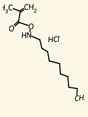 C=C(C)C(=O)ONCCCCCCCCCC.Cl